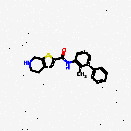 Cc1c(NC(=O)c2cc3c(s2)CNCC3)cccc1-c1ccccc1